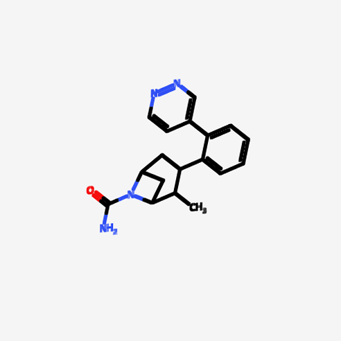 CC1C(c2ccccc2-c2ccnnc2)CC2CC1N2C(N)=O